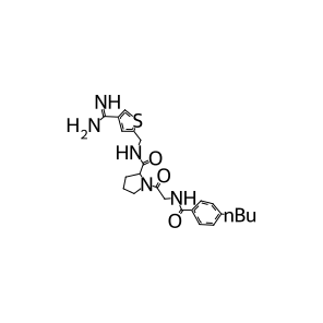 CCCCc1ccc(C(=O)NCC(=O)N2CCCC2C(=O)NCc2cc(C(=N)N)cs2)cc1